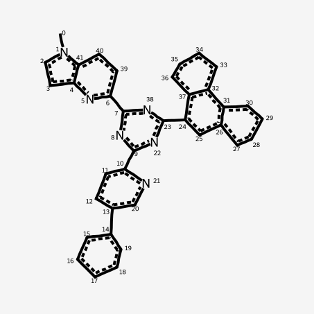 Cn1ccc2nc(-c3nc(-c4ccc(-c5ccccc5)cn4)nc(-c4cc5ccccc5c5ccccc45)n3)ccc21